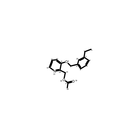 CCc1cccc(COc2cccnc2COC(C)=O)c1